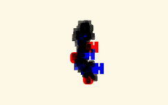 CC1(NC2COC2)CC(C(=O)NC[C@H](O)CN2CCc3ccccc3C2(C)C)=NC=N1